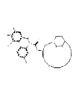 O=C(OC1CCCCCCCCCCC2CCN(CC2)C1)N(Cc1cc(F)c(F)c(F)c1)c1cccc(F)c1